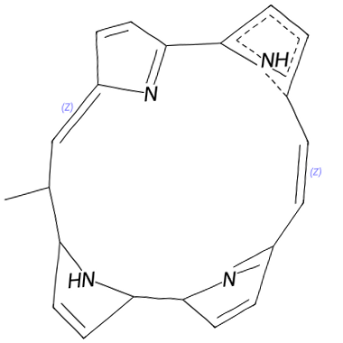 CC1/C=C2/C=CC(=N2)c2ccc([nH]2)/C=C\C2=NC(C=C2)C2C=CC1N2